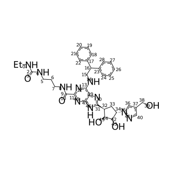 CCNC(=O)NCCCNC(=O)c1nc(NCC(c2ccccc2)c2ccccc2)c2nc([C@H]3C[C@H](n4cc(CO)cn4)[C@@H](O)[C@H]3O)[nH]c2n1